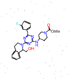 COC(=O)N1CCC(Nc2nc(-c3cccc(F)c3)nc(N3CCc4ccccc4C3CO)n2)CC1